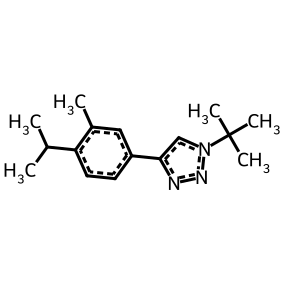 Cc1cc(-c2cn(C(C)(C)C)nn2)ccc1C(C)C